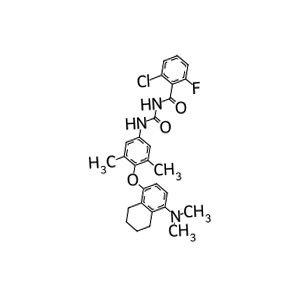 Cc1cc(NC(=O)NC(=O)c2c(F)cccc2Cl)cc(C)c1Oc1ccc(N(C)C)c2c1CCCC2